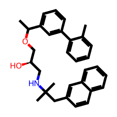 Cc1ccccc1-c1cccc(C(C)OC[C@H](O)CNC(C)(C)Cc2ccc3ccccc3c2)c1